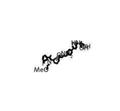 COCCCn1c(C2CCCN(C(=O)C[C@H](N)Cc3ccc(-c4ccc(NC(C)(CO)CO)nc4)cc3)C2)c(C)c2cccc(F)c21